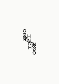 C(=C1CNC(=Cc2ccc(OCc3ccccc3)cn2)CN1)c1ccc(OCc2ccccc2)cn1